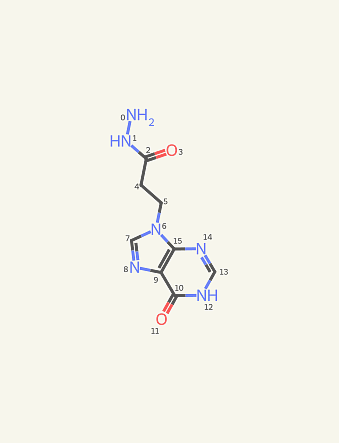 NNC(=O)CCn1cnc2c(=O)[nH]cnc21